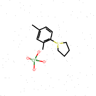 Cc1ccc([S+]2CCCC2)c(C)c1.[O-][Cl+3]([O-])([O-])[O-]